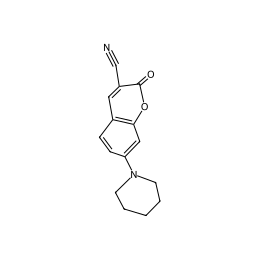 N#Cc1cc2ccc(N3CCCCC3)cc2oc1=O